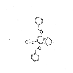 O=Cc1cc(OCc2ccccc2)c2c(c1OCc1ccccc1)C1CCC2CC1